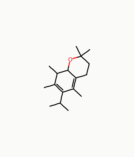 CC1=C2CCC(C)(C)OC2C(C)C(C)=C1C(C)C